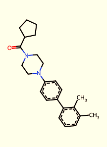 Cc1cccc(-c2ccc(N3CCN(C(=O)C4CCCC4)CC3)cc2)c1C